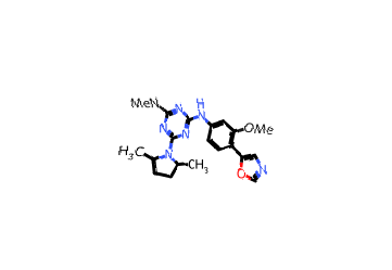 CNc1nc(Nc2ccc(-c3cnco3)c(OC)c2)nc(N2C(C)CCC2C)n1